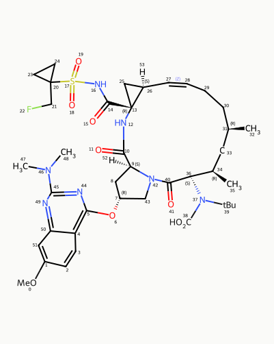 COc1ccc2c(O[C@@H]3C[C@H]4C(=O)N[C@]5(C(=O)NS(=O)(=O)C6(CF)CC6)C[C@H]5/C=C\CC[C@@H](C)C[C@@H](C)[C@H](N(C(=O)O)C(C)(C)C)C(=O)N4C3)nc(N(C)C)nc2c1